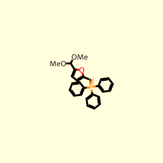 COC(OC)c1ccc(C[PH](c2ccccc2)(c2ccccc2)c2ccccc2)o1